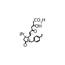 CC(C)C1CC(=O)N(Cc2ccc(F)cc2)C1/C=C/C(=O)C[C@@H](O)CC(=O)O